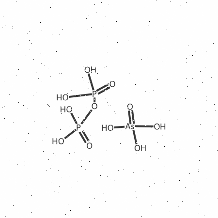 O=P(O)(O)OP(=O)(O)O.O=[As](O)(O)O